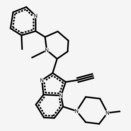 C#Cc1c(C2CCCC(c3ncccc3C)N2C)nc2cccc(N3CCN(C)CC3)n12